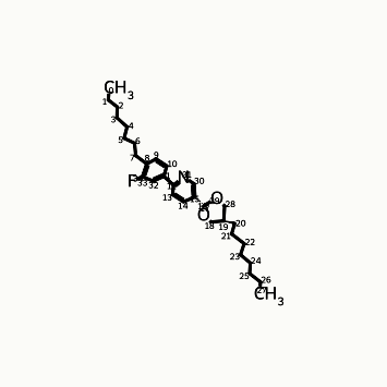 CCCCCCCCc1ccc(-c2ccc([C@H]3OC[C@H](CCCCCCCC)CO3)cn2)cc1F